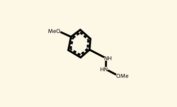 CONNc1ccc(OC)cc1